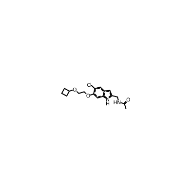 CC(=O)NCc1cc2cc(Cl)c(OCCOC3CCC3)cc2[nH]1